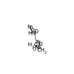 CC1SC(C(=O)N2CCC(CCCCNC(=O)c3cc4ccncc4s3)CC2)C(C)N1C1CCCCC1